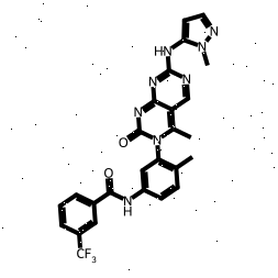 Cc1ccc(NC(=O)c2cccc(C(F)(F)F)c2)cc1-n1c(C)c2cnc(Nc3ccnn3C)nc2nc1=O